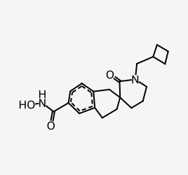 O=C(NO)c1ccc2c(c1)CCC1(CCCN(CC3CCC3)C1=O)C2